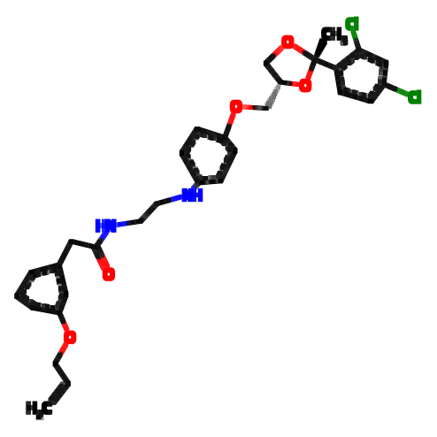 C=CCOc1cccc(CC(=O)NCCNc2ccc(OC[C@@H]3CO[C@](C)(c4ccc(Cl)cc4Cl)O3)cc2)c1